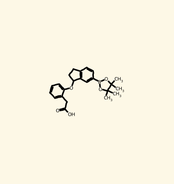 CC1(C)OB(c2ccc3c(c2)C(Oc2ccccc2CC(=O)O)CC3)OC1(C)C